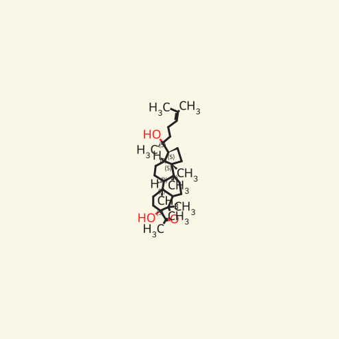 CC(=O)[C@]1(O)CC[C@@]2(C)C(CC[C@]3(C)[C@@H]2CC[C@@H]2[C@@H]([C@@](C)(O)CCC=C(C)C)CC[C@@]23C)C1(C)C